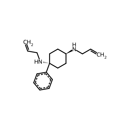 C=CCN[C@H]1CC[C@@](NCC=C)(c2ccccc2)CC1